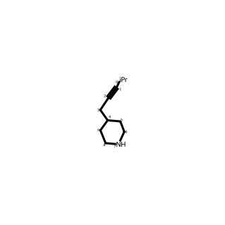 CC(C)C#CCC1CCNCC1